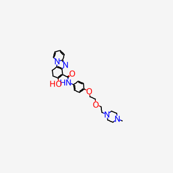 CN1CCN(CCOCCOc2ccc(NC(=O)C3=C(O)CCc4c3nc3ccccn43)cc2)CC1